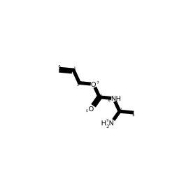 C=CCOC(=O)NC(C)N